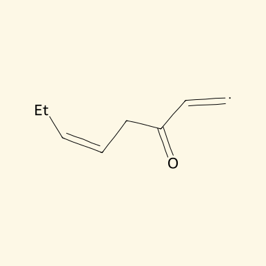 [CH]=CC(=O)C/C=C\CC